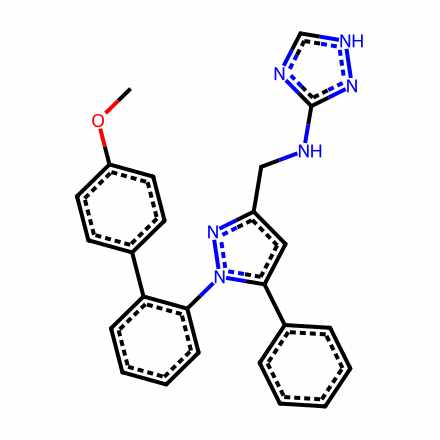 COc1ccc(-c2ccccc2-n2nc(CNc3nc[nH]n3)cc2-c2ccccc2)cc1